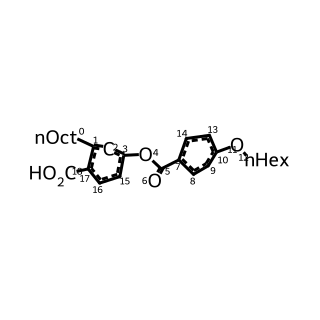 CCCCCCCCc1cc(OC(=O)c2ccc(OCCCCCC)cc2)ccc1C(=O)O